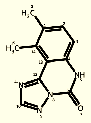 Cc1ccc2[nH]c(=O)n3ncnc3c2c1C